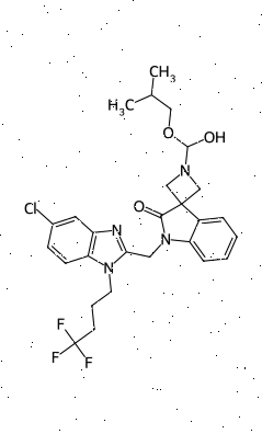 CC(C)COC(O)N1CC2(C1)C(=O)N(Cc1nc3cc(Cl)ccc3n1CCCC(F)(F)F)c1ccccc12